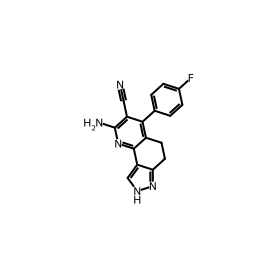 N#Cc1c(N)nc2c(c1-c1ccc(F)cc1)CCc1n[nH]cc1-2